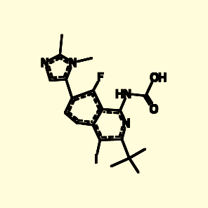 Cc1ncc(-c2ccc3c(I)c(C(C)(C)C)nc(NC(=O)O)c3c2F)n1C